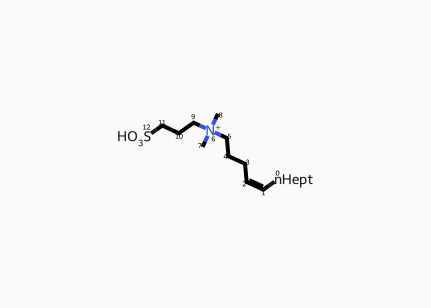 CCCCCCC/C=C\CCC[N+](C)(C)CCCS(=O)(=O)O